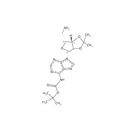 CC(C)(C)OC(=O)Nc1ncnc2c1ncn2[C@@H]1O[C@H](CN)[C@@H]2OC(C)(C)OC21